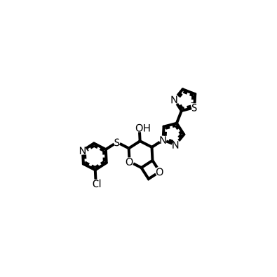 OC1C(Sc2cncc(Cl)c2)OC2COC2C1n1cc(-c2nccs2)cn1